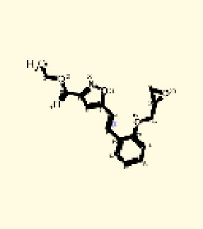 CCOC(=O)c1cc(/C=C/c2ccccc2OCC2CO2)on1